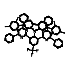 Cc1cc(C)c(-c2ccc3c4ccc(-c5c(C)cc(C)cc5C)cc4n(-c4c(-c5nc(-c6ccccc6)cc(-c6ccccc6)n5)cc(C(F)(F)F)cc4-c4nc(-c5ccccc5)cc(-c5ccccc5)n4)c3c2)c(C)c1